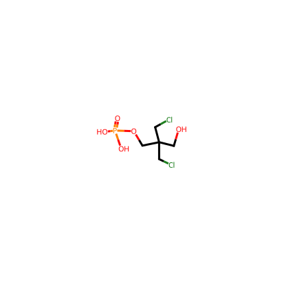 O=P(O)(O)OCC(CO)(CCl)CCl